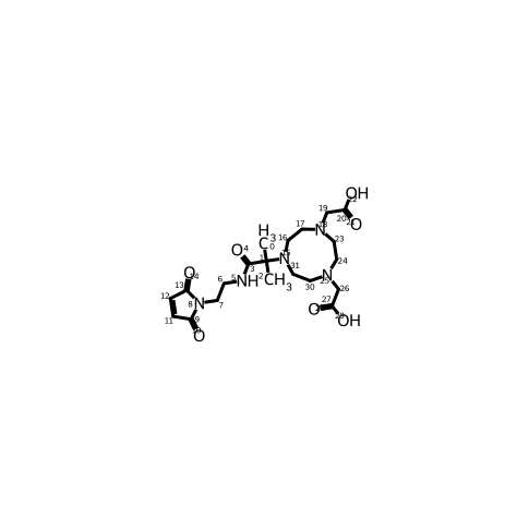 CC(C)(C(=O)NCCN1C(=O)C=CC1=O)N1CCN(CC(=O)O)CCN(CC(=O)O)CC1